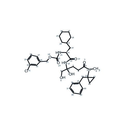 CN(C(=O)CCC(O)(CO)NC(=O)[C@H](CC1CCCCC1)NC(=O)OCc1cccc(Cl)c1)C1(Cc2ccccc2)CC1